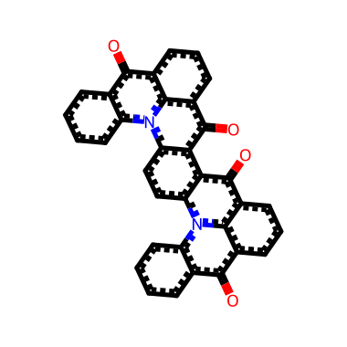 O=c1c2ccccc2n2c3ccc4c(c(=O)c5cccc6c(=O)c7ccccc7n4c65)c3c(=O)c3cccc1c32